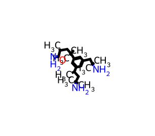 CC(CC(C)(C)c1cc(CC(C)(C)N)cc(C(C)CC(C)(C)N)c1)C(N)=O